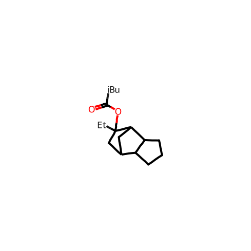 CCC(C)C(=O)OC1(CC)CC2CC1C1CCCC21